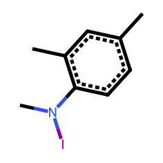 Cc1ccc(N(C)I)c(C)c1